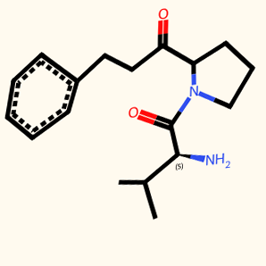 CC(C)[C@H](N)C(=O)N1CCCC1C(=O)CCc1ccccc1